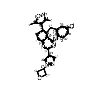 Cc1noc(C)c1-c1ccc2nc(-c3cnn(C4COC4)c3)nc(N)c2c1Cc1cccc(Cl)c1